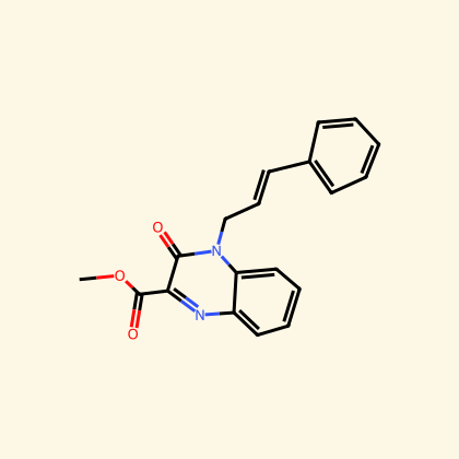 COC(=O)c1nc2ccccc2n(C/C=C/c2ccccc2)c1=O